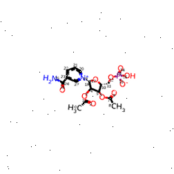 CC(=O)OC1C(OC(C)=O)[C@@H](COP(=O)([O-])O)O[C@H]1[n+]1cccc(C(N)=O)c1